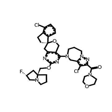 O=C(c1nn2c(c1Cl)CN(c1nc(OC[C@@]34CCCN3C[C@H](F)C4)nc3c1CO[C@@]1(CCc4c(Cl)cccc41)C3)CCC2)N1CCOCC1